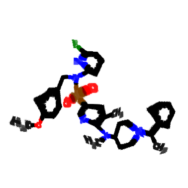 COc1ccc(CN(c2cccc(F)n2)S(=O)(=O)c2cnc(N(C)C3CCN([C@H](C)c4ccccc4)CC3)c(C)c2)cc1